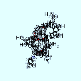 CN[C@H](CC(C)C)C(=O)N[C@H]1C(=O)N[C@@H](CC(N)=O)C(=O)N[C@H]2C(=O)N[C@H]3C(=O)N[C@H](C(=O)N[C@@H](C(=O)NOCC(N)=O)c4cc(O)cc(O)c4-c4cc3ccc4O)[C@H](O)c3ccc(c(Cl)c3)Oc3cc2cc(c3O[C@@H]2O[C@H](CO)[C@@H](O)[C@H](O)[C@H]2O[C@H]2C[C@](C)(NCCn3ccc(NC(=O)/C=C/c4ccc(F)c(Cl)c4)nc3=O)[C@H](O)[C@H](C)O2)Oc2ccc(cc2Cl)[C@H]1O